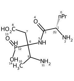 CCC[C@H](N)C(=O)NC(CC(=O)O)(C(C)N)[PH](=O)O